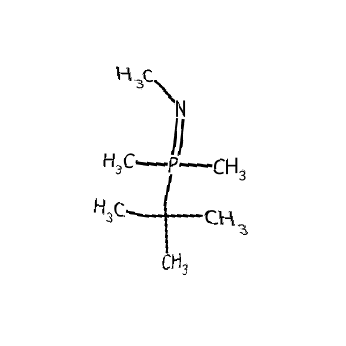 CN=P(C)(C)C(C)(C)C